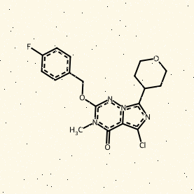 Cn1c(OCc2ccc(F)cc2)nn2c(C3CCOCC3)nc(Cl)c2c1=O